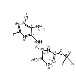 Cc1nc(Cl)c(N)c(NC[C@H](NC(=O)OC(C)(C)C)C(=O)O)n1